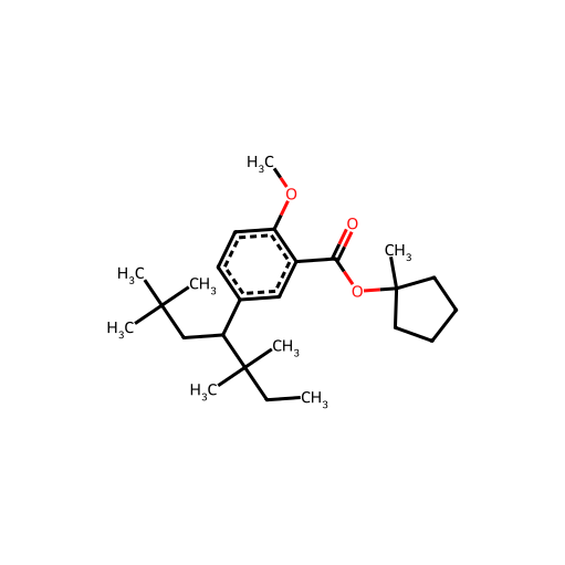 CCC(C)(C)C(CC(C)(C)C)c1ccc(OC)c(C(=O)OC2(C)CCCC2)c1